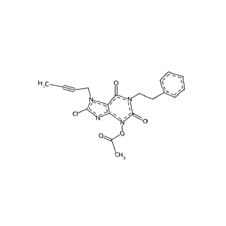 CC#CCn1c(Cl)nc2c1c(=O)n(CCc1ccccc1)c(=O)n2OC(C)=O